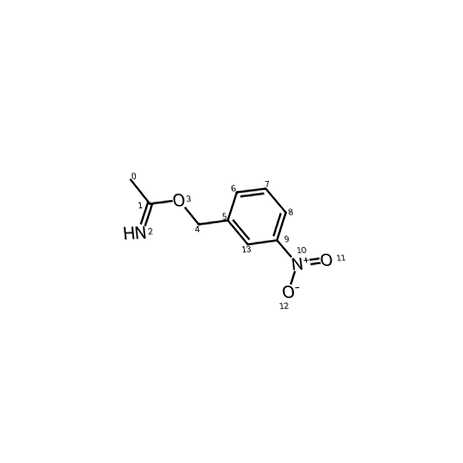 CC(=N)OCc1cccc([N+](=O)[O-])c1